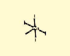 [I][Zn]([I])([I])([I])[I]